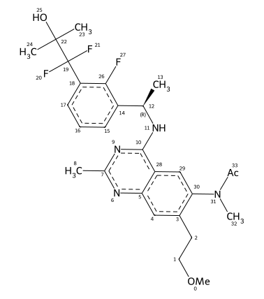 COCCc1cc2nc(C)nc(N[C@H](C)c3cccc(C(F)(F)C(C)(C)O)c3F)c2cc1N(C)C(C)=O